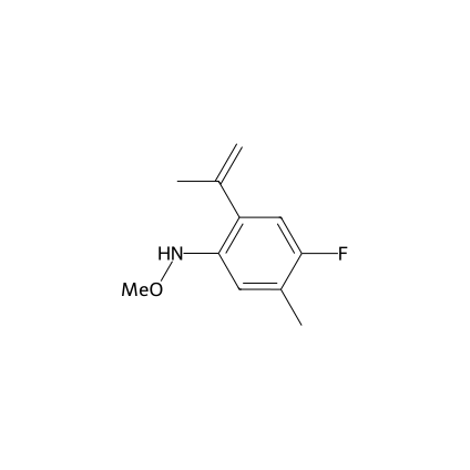 C=C(C)c1cc(F)c(C)cc1NOC